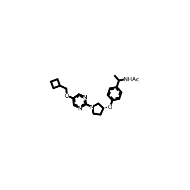 CC(=O)NC(C)c1ccc(O[C@@H]2CCN(c3ncc(OCC4CCC4)cn3)C2)cc1